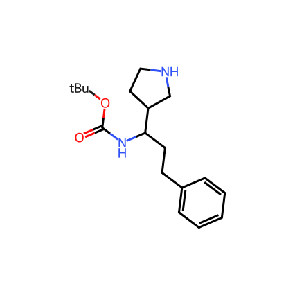 CC(C)(C)OC(=O)NC(CCc1ccccc1)C1CCNC1